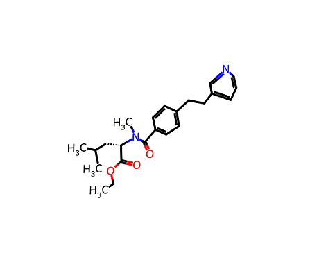 CCOC(=O)[C@H](CC(C)C)N(C)C(=O)c1ccc(CCc2cccnc2)cc1